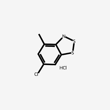 Cc1cc(Cl)cc2c1[N]SS2.Cl